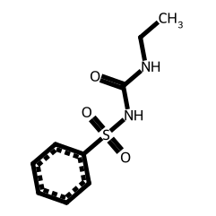 CCNC(=O)NS(=O)(=O)c1ccccc1